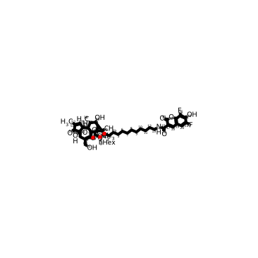 CCCCCCN(CCCCCCCCCCCCNC(=O)c1cc2cc(F)c(O)c(F)c2oc1=O)C(=O)O[C@@]12[C@H](O)[C@@H](C)[C@@]3(O)[C@@H](C=C(CO)C[C@]4(O)C(=O)C(C)=C[C@@H]34)[C@]1(C)C2(C)C